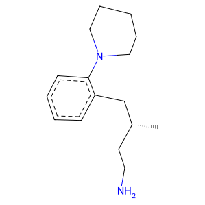 C[C@H](CCN)Cc1ccccc1N1CCCCC1